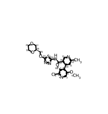 COc1cnc(Cl)c(F)c1-c1cc(C)ncc1C(=O)Nc1nnc(OC[C@@H]2COCCO2)s1